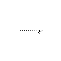 CCCCCCCCCCCCCCC=CCCCCC(=O)O